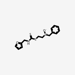 [O-][S+](CCSC(=S)NCc1ccco1)Cc1ccccc1